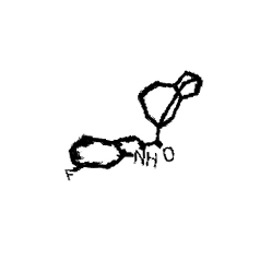 O=C(c1cc2ccc(F)cc2[nH]1)C12CCCC3CC(CC3C1)C2